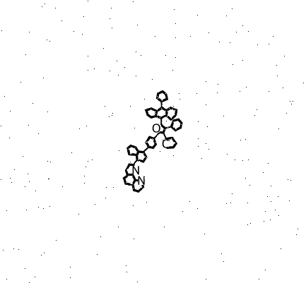 c1ccc(-c2c(-c3ccc(-c4ccc(-c5ccc6ccc7cccnc7c6n5)c5ccccc45)cc3)oc(-c3c4ccccc4c(-c4ccccc4)c4ccccc34)c2-c2ccccc2)cc1